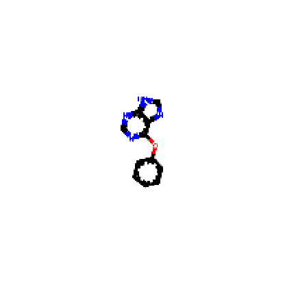 [c]1ccc(Oc2ncnc3[nH]cnc23)cc1